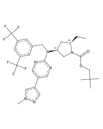 CC[C@@H]1C[C@H](N(Cc2cc(C(F)(F)F)cc(C(F)(F)F)c2)c2ncc(-c3cnn(C)c3)cn2)CN1C(=O)OCC(C)(C)C